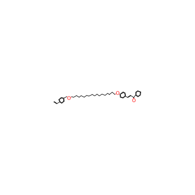 C=Cc1ccc(COCCCCCCCCCCCCCCCCCCOc2ccc(/C=C/C(=O)c3ccccc3)cc2)cc1